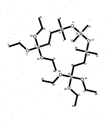 CCO[Si](CC[Si](C)(C)O[Si](C)(C)O[Si](C)(C)CC[Si](OCC)(OCC)OCC)(OCC)OCC